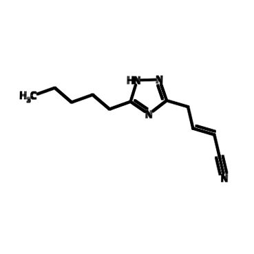 CCCCCc1nc(CC=CC#N)n[nH]1